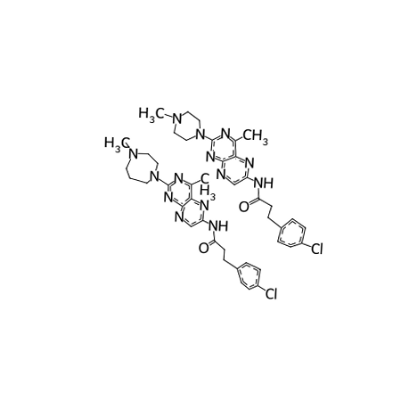 Cc1nc(N2CCCN(C)CC2)nc2ncc(NC(=O)CCc3ccc(Cl)cc3)nc12.Cc1nc(N2CCN(C)CC2)nc2ncc(NC(=O)CCc3ccc(Cl)cc3)nc12